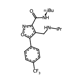 CC[C@H](C)NC(=O)c1noc(-c2ccc(C(F)(F)F)cc2)c1CNC(C)C